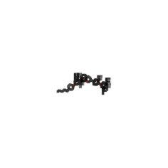 CCCCCC1CCC(c2cc(F)c(C(F)(F)OC3CCC(c4ccc(-c5cc(F)c(F)c(F)c5)c(F)c4)CC3)c(F)c2)CC1